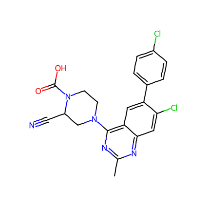 Cc1nc(N2CCN(C(=O)O)C(C#N)C2)c2cc(-c3ccc(Cl)cc3)c(Cl)cc2n1